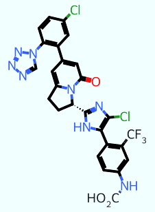 O=C(O)Nc1ccc(-c2[nH]c([C@@H]3CCc4cc(-c5cc(Cl)ccc5-n5cnnn5)cc(=O)n43)nc2Cl)c(C(F)(F)F)c1